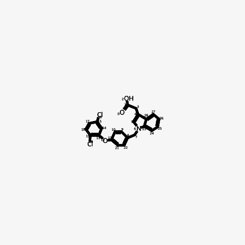 O=C(O)Cc1cn(Cc2ccc(Oc3cc(Cl)ccc3Cl)cc2)c2ccccc12